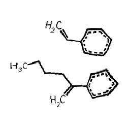 C=C(CCCC)c1ccccc1.C=Cc1ccccc1